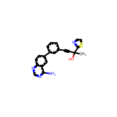 CC(O)(C#Cc1cccc(-c2ccc3ncnc(N)c3c2)c1)c1nccs1